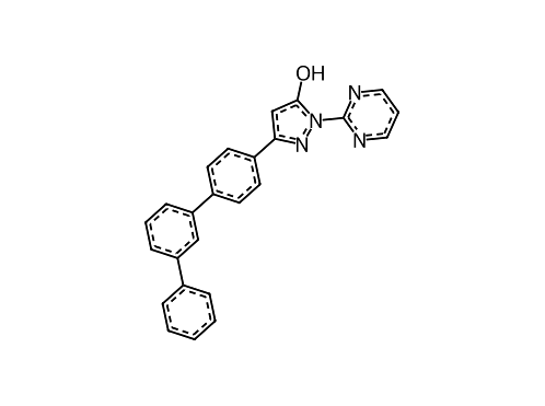 Oc1cc(-c2ccc(-c3cccc(-c4ccccc4)c3)cc2)nn1-c1ncccn1